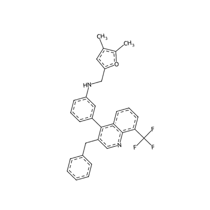 Cc1cc(CNc2cccc(-c3c(Cc4ccccc4)cnc4c(C(F)(F)F)cccc34)c2)oc1C